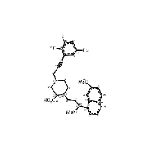 CN[C@@H](CC[C@@H]1CCN(CC#Cc2cc(F)cc(F)c2F)C[C@@H]1C(=O)O)c1ccnc2ccc(OC)cc12